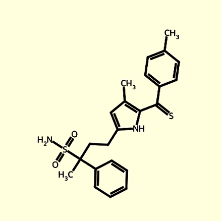 Cc1ccc(C(=S)c2[nH]c(CCC(C)(c3ccccc3)S(N)(=O)=O)cc2C)cc1